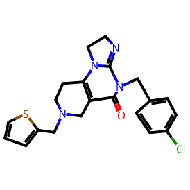 O=C1C2=C(CCN(Cc3cccs3)C2)N2CCN=C2N1Cc1ccc(Cl)cc1